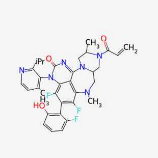 C=CC(=O)N1CC2CN(C)c3c(F)c(-c4c(O)cccc4F)c(F)c4c3c(nc(=O)n4-c3c(C)ccnc3C(C)C)N2CC1C